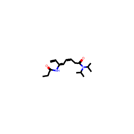 C=C/C(=C\C=C/CC(=O)N(C(C)C)C(C)C)NC(=O)CC